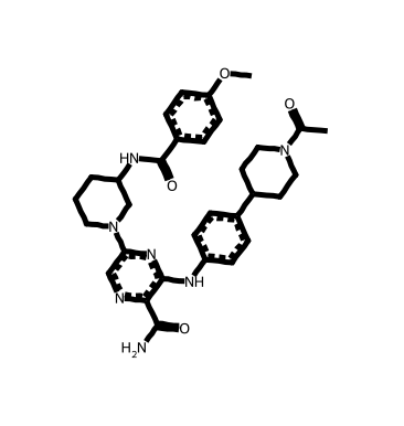 COc1ccc(C(=O)NC2CCCN(c3cnc(C(N)=O)c(Nc4ccc(C5CCN(C(C)=O)CC5)cc4)n3)C2)cc1